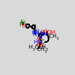 CC[C@]1(C(=O)O)/C=C\CCCC[C@H](NC(=O)OC(C)(C)C)C(=O)N2C[C@H](n3nnc(-c4cccc(C5CCC(OC(F)(F)F)CC5)c4)n3)C[C@H]2C(=O)N1